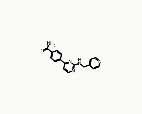 NC(=O)c1ccc(-c2ccnc(NCc3ccncc3)n2)cc1